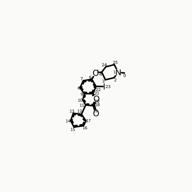 CN1CCC(Oc2ccc3cc(-c4ccccc4)c(=O)oc3c2I)CC1